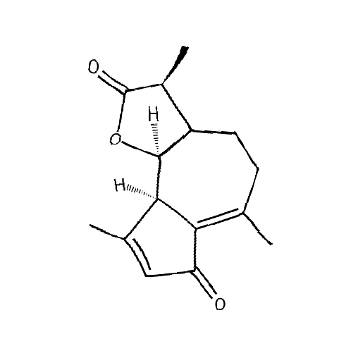 CC1=CC(=O)C2=C(C)CCC3[C@H](C)C(=O)O[C@@H]3[C@H]12